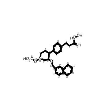 N=C(CCc1ccc(C2CCN(OC(=O)O)CC2OCc2ccc3ccccc3c2)cc1)NO